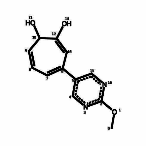 COc1ncc(C2=CC=CC(O)C(O)=C2)cn1